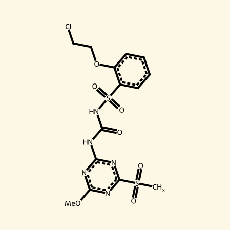 COc1nc(NC(=O)NS(=O)(=O)c2ccccc2OCCCl)nc(S(C)(=O)=O)n1